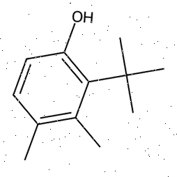 Cc1ccc(O)c(C(C)(C)C)c1C